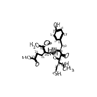 CN[C@@H](CS)C(=O)C(=O)[C@H](Cc1ccc(O)cc1)NN[C@@H](CCC(=O)O)C(C)=O